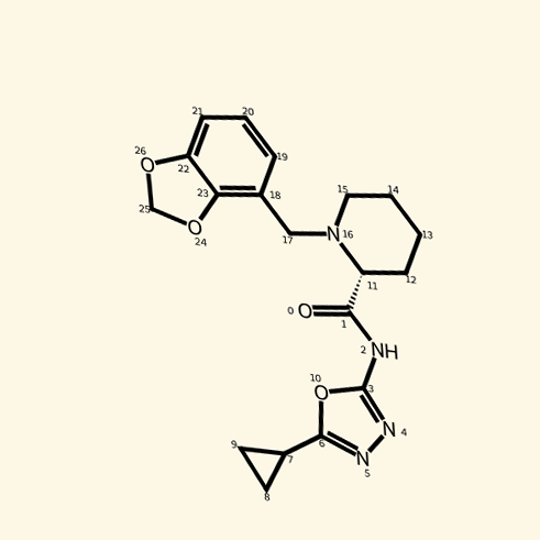 O=C(Nc1nnc(C2CC2)o1)[C@H]1CCCCN1Cc1cccc2c1OCO2